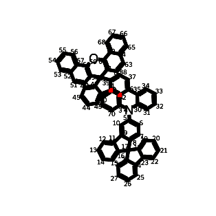 c1ccc(N(c2ccc3c(c2)-c2ccccc2C32c3ccccc3-c3ccccc32)c2ccccc2-c2ccc3c(c2)-c2ccccc2C32c3ccc4ccccc4c3Oc3c2ccc2ccccc32)cc1